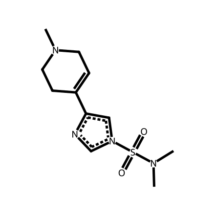 CN1CC=C(c2cn(S(=O)(=O)N(C)C)cn2)CC1